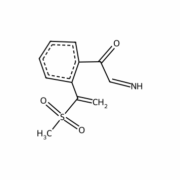 C=C(c1ccccc1C(=O)C=N)S(C)(=O)=O